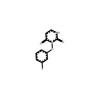 O=c1cc[nH]c(=O)n1Oc1cccc(F)c1